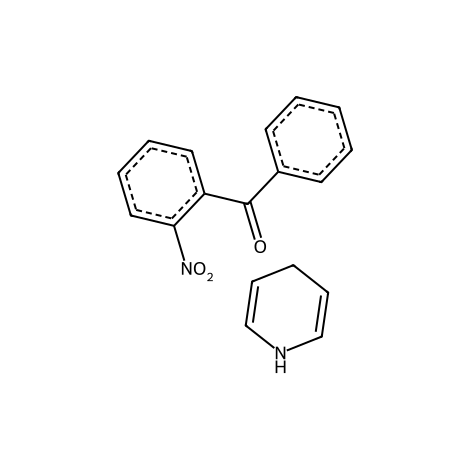 C1=CNC=CC1.O=C(c1ccccc1)c1ccccc1[N+](=O)[O-]